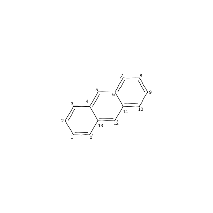 [c]1cccc2cc3[c]cccc3[c]c12